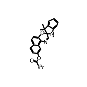 CC(C)C(=O)Oc1ccc2ccc3c(c2c1)N=CC1(O3)N(C)c2ccccc2C1(C)C